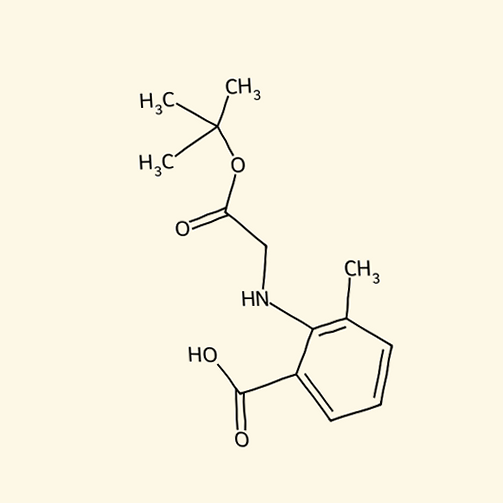 Cc1cccc(C(=O)O)c1NCC(=O)OC(C)(C)C